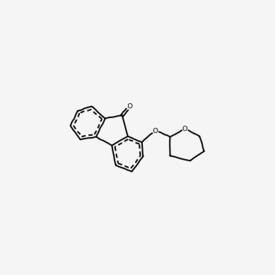 O=C1c2ccccc2-c2cccc(OC3CCCCO3)c21